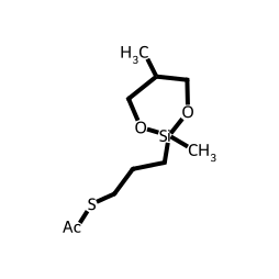 CC(=O)SCCC[Si]1(C)OCC(C)CO1